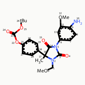 COCN1C(=O)N(c2ccc(N)c(OC)c2)C(=O)C1(C)c1ccc(OC(=O)OC(C)(C)C)cc1